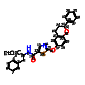 CCOC(=O)[C@H](Cc1ccccc1)NC(=O)c1cnc(Oc2ccc3c(c2)CC[C@@H](c2ccccc2)O3)s1